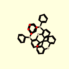 c1ccc(N(c2ccccc2)c2cccc3c2Oc2c(N(c4ccccc4)c4ccccc4)cccc2C32c3ccccc3Oc3ccccc32)cc1